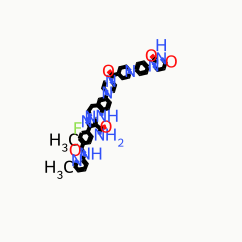 CC1=C(C(=O)Nc2cccc(C)n2)C=CC(c2nn3c(c2C(N)=O)Nc2ccc(N4CCN(C(=O)C5CCN(c6ccc(N7CCC(=O)NC7=O)cc6)CC5)CC4)cc2CC3)C1F